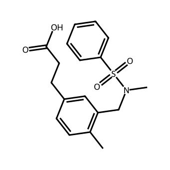 Cc1ccc(CCC(=O)O)cc1CN(C)S(=O)(=O)c1ccccc1